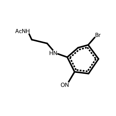 CC(=O)NCCNc1cc(Br)ccc1N=O